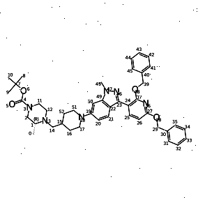 C[C@@H]1CN(C(=O)OC(C)(C)C)CCN1CC1CCN(c2ccc3c(-c4ccc(OCc5ccccc5)nc4OCc4ccccc4)nn(C)c3c2)CC1